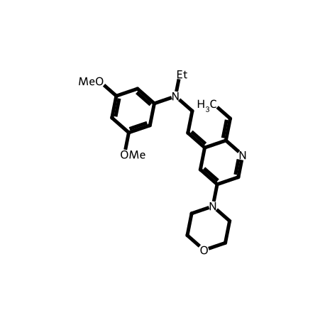 C/C=c1/ncc(N2CCOCC2)c/c1=C/CN(CC)c1cc(OC)cc(OC)c1